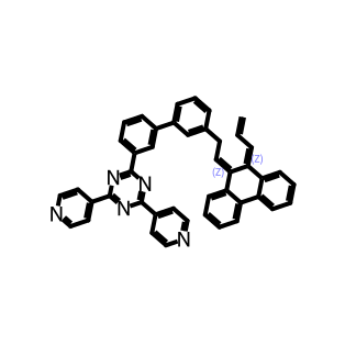 C=C/C=c1\c(=C/Cc2cccc(-c3cccc(-c4nc(-c5ccncc5)nc(-c5ccncc5)n4)c3)c2)c2ccccc2c2ccccc12